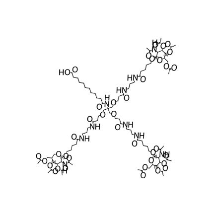 CC(=O)NC1C(OC(C)=O)[C@H](OC(C)=O)C(COC(C)=O)CO[C@H]1OCCCCC(=O)NCCCNC(=O)CCOCC(COCCC(=O)NCCCNC(=O)CCCCO[C@@H]1OC(COC(C)=O)[C@@H](OC(C)=O)C(OC(C)=O)C1NC(C)=O)(COCCC(=O)NCCCNC(=O)CCCCO[C@@H]1OC(COC(C)=O)[C@@H](OC(C)=O)C(OC(C)=O)C1NC(C)=O)NC(=O)CCCCCCCCCCC(=O)O